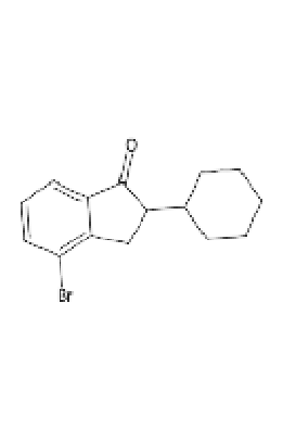 O=C1c2cccc(Br)c2CC1C1CCCCC1